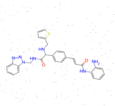 Nc1ccccc1NC(=O)C=Cc1ccc(C(NCc2cccs2)C(=O)NCn2nnc3ccccc32)cc1